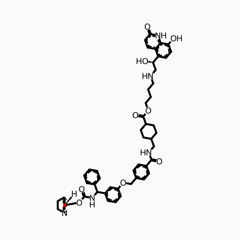 O=C(NC(c1ccccc1)c1cccc(OCc2ccc(C(=O)NCC3CCC(C(=O)OCCCCNC[C@@H](O)c4ccc(O)c5[nH]c(=O)ccc45)CC3)cc2)c1)O[C@H]1CN2CCC1CC2